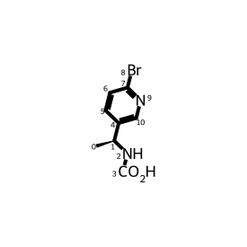 C[C@H](NC(=O)O)c1ccc(Br)nc1